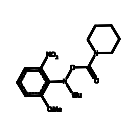 COc1cccc([N+](=O)[O-])c1N(OC(=O)N1CCCCC1)C(C)(C)C